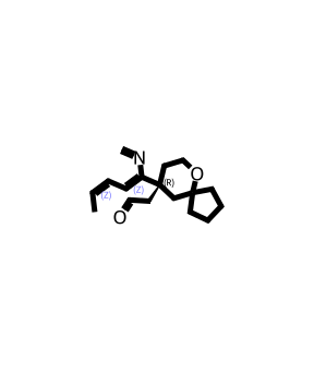 C=N/C(=C\C=C/C)[C@]1(CC=O)CCOC2(CCCC2)C1